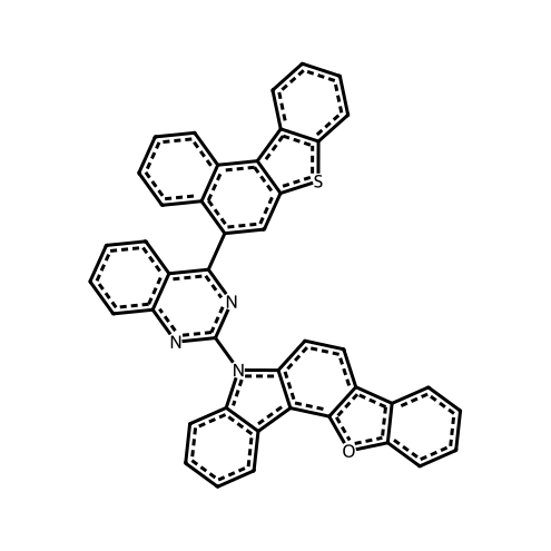 c1ccc2c(-c3cc4sc5ccccc5c4c4ccccc34)nc(-n3c4ccccc4c4c5oc6ccccc6c5ccc43)nc2c1